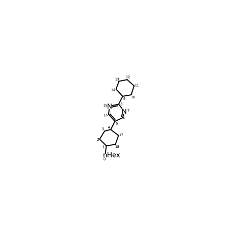 CCCCCCC1CCC(c2cnc(C3CCCCC3)nc2)CC1